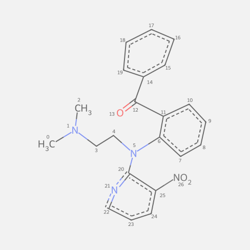 CN(C)CCN(c1ccccc1C(=O)c1ccccc1)c1ncccc1[N+](=O)[O-]